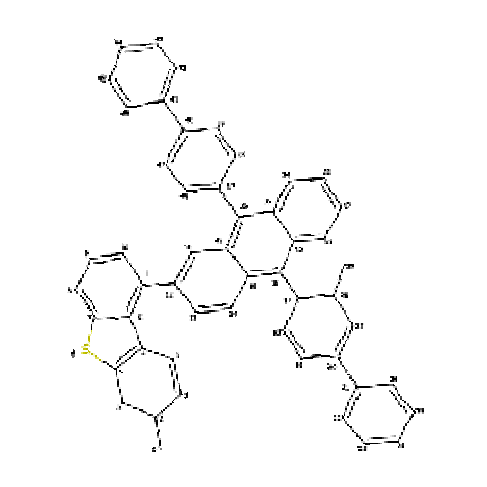 CC1C=Cc2c(sc3cccc(-c4ccc5c(C6C=CC(c7ccccc7)=CC6C)c6ccccc6c(-c6ccc(-c7ccccc7)cc6)c5c4)c23)C1